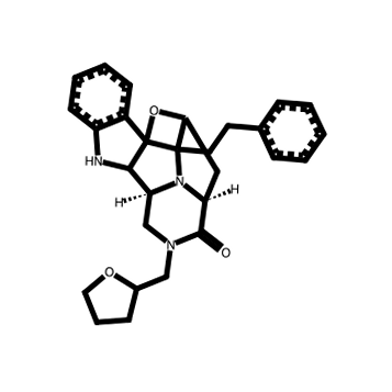 O=C1[C@@H]2CC3OC45c6ccccc6NC4[C@H](CN1CC1CCCO1)N2C35CCc1ccccc1